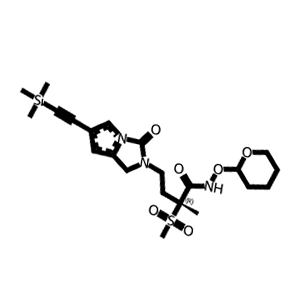 C[C@@](CCN1Cc2cc(C#C[Si](C)(C)C)cn2C1=O)(C(=O)NOC1CCCCO1)S(C)(=O)=O